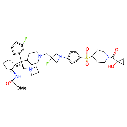 COC(=O)N[C@H]1CCC[C@@H]1[C@](CN1CCC1)(c1cccc(F)c1)C1CCN(CC2(F)CN(c3ccc(S(=O)(=O)C4CCN(C(=O)C5(O)CC5)CC4)cc3)C2)CC1